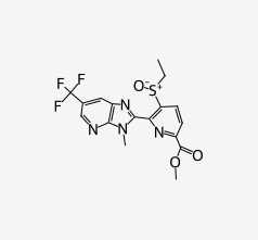 CC[S+]([O-])c1ccc(C(=O)OC)nc1-c1nc2cc(C(F)(F)F)cnc2n1C